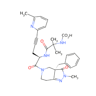 Cc1cccc(C#CC[C@@H](NC(=O)C(C)(C)NC(=O)O)C(=O)N2CCC3=NN(C)C(=O)[C@]3(Cc3ccccc3)C2)n1